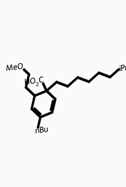 CCCCC1=CC(CCOC)C(CCCCCCC(C)C)(C(=O)O)C=C1